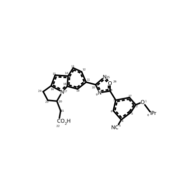 CC(C)Oc1cc(C#N)cc(-c2nc(-c3ccc4cc5n(c4c3)C(CC(=O)O)CC5)no2)c1